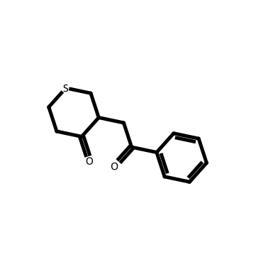 O=C(CC1CSCCC1=O)c1ccccc1